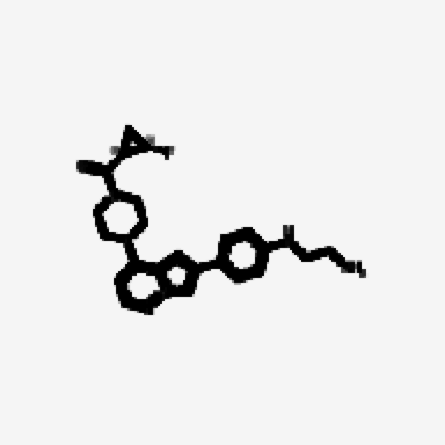 NCCNc1ccc(-c2cc3c(N4CCN(C(=O)[C@H]5C[C@@H]5F)CC4)ccnn3c2)cc1